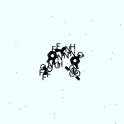 CCOP(=O)(Cc1ccc(Nc2ncc(C(F)(F)F)c(Nc3cccc4c3C(=O)N(OC(=O)C(F)(F)F)C4)n2)c(OC)c1)OCC